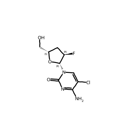 Nc1nc(=O)n([C@@H]2O[C@H](CO)C[C@H]2F)cc1Cl